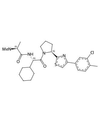 CN[C@@H](C)C(=O)N[C@H](C(=O)N1CCC[C@H]1c1nc(-c2ccc(C)c(Cl)c2)cs1)C1CCCCC1